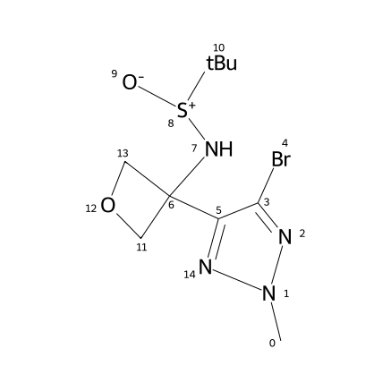 Cn1nc(Br)c(C2(N[S+]([O-])C(C)(C)C)COC2)n1